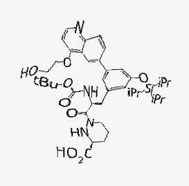 CC(C)[Si](Oc1cc(C[C@H](NC(=O)OC(C)(C)C)C(=O)N2CCC[C@@H](C(=O)O)N2)cc(-c2ccc3nccc(OCCO)c3c2)c1)(C(C)C)C(C)C